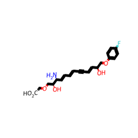 N[C@H](C=CC=CC#CC=C[C@H](O)COc1ccc(F)cc1)[C@H](O)COCC(=O)O